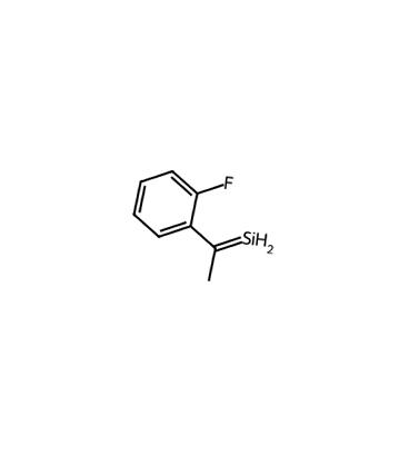 CC(=[SiH2])c1ccccc1F